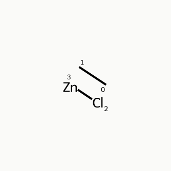 CC.[Cl][Zn]